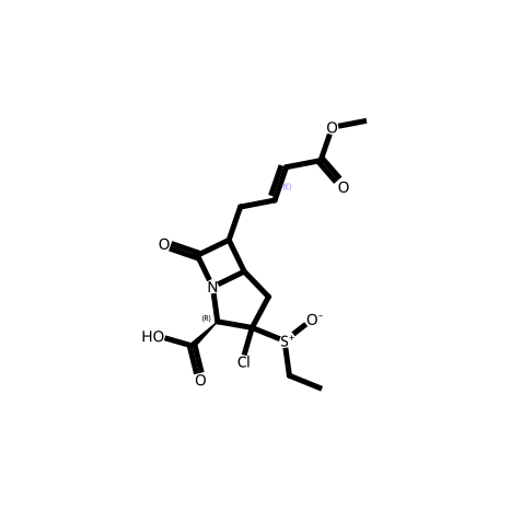 CC[S+]([O-])C1(Cl)CC2C(C/C=C/C(=O)OC)C(=O)N2[C@@H]1C(=O)O